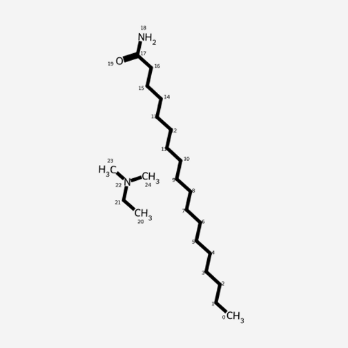 CCCCCCCCCCCCCCCCCC(N)=O.CCN(C)C